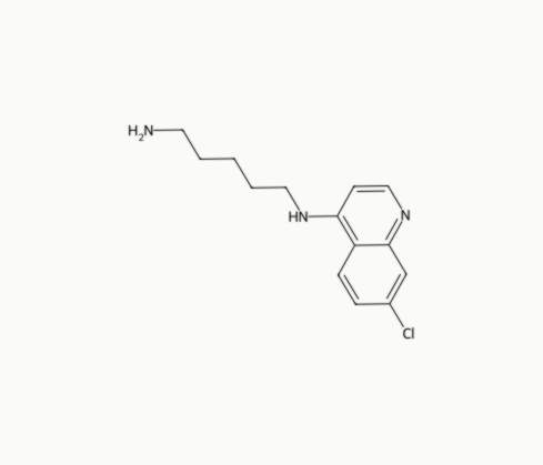 NCCCCCNc1ccnc2cc(Cl)ccc12